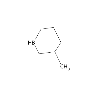 CC1CBCCC1